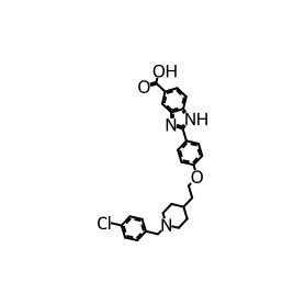 O=C(O)c1ccc2[nH]c(-c3ccc(OCCC4CCN(Cc5ccc(Cl)cc5)CC4)cc3)nc2c1